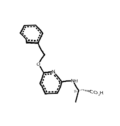 C[C@H](Nc1cccc(OCc2ccccc2)n1)C(=O)O